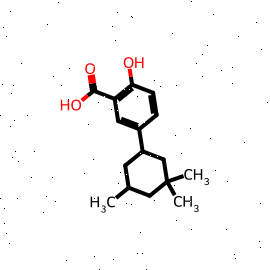 CC1CC(c2ccc(O)c(C(=O)O)c2)CC(C)(C)C1